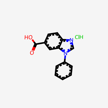 Cl.O=C(O)c1ccc2ncn(-c3ccccc3)c2c1